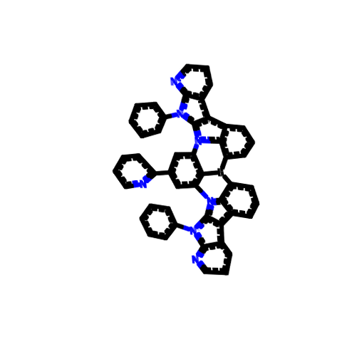 c1ccc(-n2c3ncccc3c3c4cccc5c4n(c32)-c2cc(-c3ccccn3)cc3c2B5c2cccc4c5c6cccnc6n(-c6ccccc6)c5n-3c24)cc1